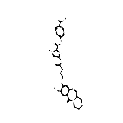 COC(=O)c1ccc(NC(=O)c2nc(NC(=O)CCCOc3cc4c(cc3OC)C(=O)N3CCCCC3C=N4)cn2C)cc1